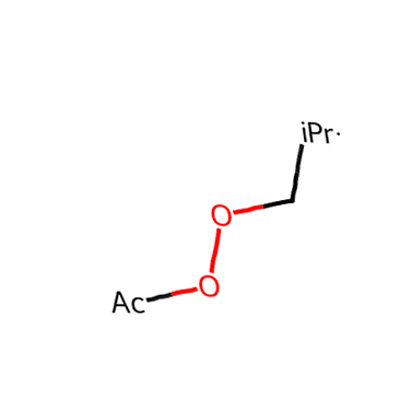 C[C](C)COOC(C)=O